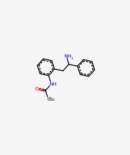 CC(C)(C)C(=O)Nc1ccccc1CC(N)c1ccccc1